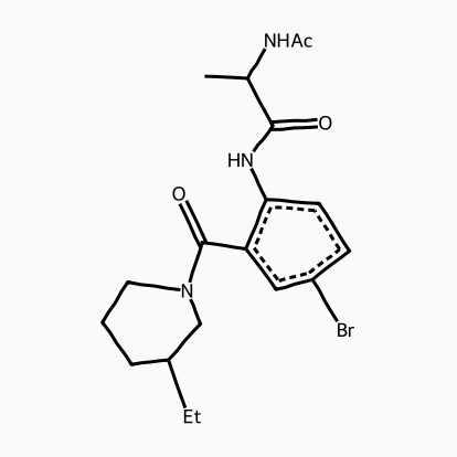 CCC1CCCN(C(=O)c2cc(Br)ccc2NC(=O)C(C)NC(C)=O)C1